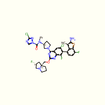 CC(C)N(C(=O)n1cnc(Cl)n1)[C@H]1CCN(c2nc(OC[C@@]34CCCN3C[C@H](F)C4)nc3c(F)c(-c4ccc(F)c5sc(N)c(C#N)c45)c(Cl)cc23)C1